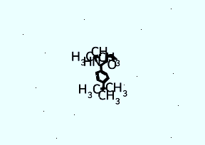 CC(C)(C)NC(c1ccc(C(C)(C)C)cc1)c1ccco1